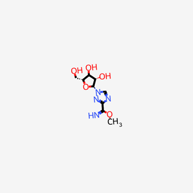 COC(=N)c1ncn([C@@H]2O[C@H](CO)C(O)[C@@H]2O)n1